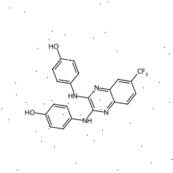 Oc1ccc(Nc2nc3ccc(C(F)(F)F)cc3nc2Nc2ccc(O)cc2)cc1